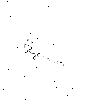 CCCCCCCCOC(=O)C=CC(=O)OC(F)C(F)F